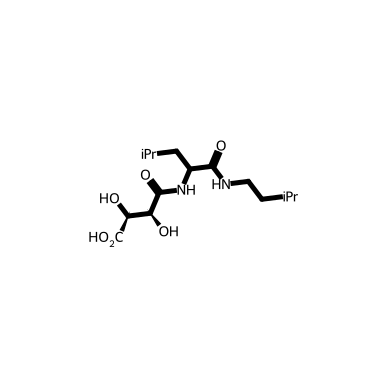 CC(C)CCNC(=O)C(CC(C)C)NC(=O)[C@@H](O)[C@H](O)C(=O)O